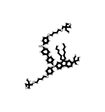 CCCCCCC1(CCCCCC)c2cc(N(c3ccc(OCCCCOCC4(CC)COC4)cc3)c3ccc(-c4ccc(Nc5ccc(OCCCCOCC6(CC)COC6)cc5)cc4)cc3)ccc2-c2ccc(C(C)(CC)CC)cc21